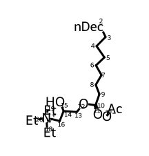 CC(=O)[O-].CCCCCCCCCCCCCCCCCC(=O)OCC(O)C[N+](CC)(CC)CC